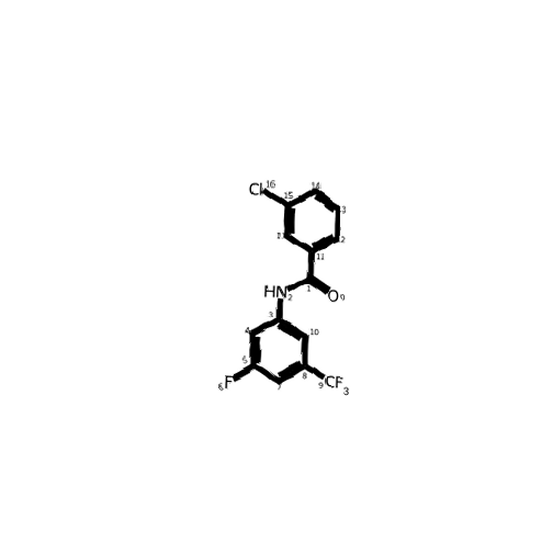 O=C(Nc1cc(F)cc(C(F)(F)F)c1)c1cccc(Cl)c1